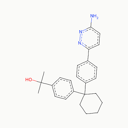 CC(C)(O)c1ccc(C2(c3ccc(-c4ccc(N)nn4)cc3)CCCCC2)cc1